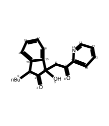 CCCCC1C(=O)C(O)(CC(=O)c2ccccn2)c2ccccc21